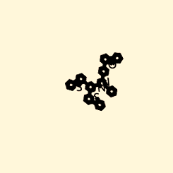 c1ccc(-c2nc(-c3ccc(-c4cccc5c4oc4ccccc45)cc3)cc(-c3cc(-c4cccc5c4sc4ccccc45)cc(-c4cccc5c4sc4ccccc45)c3)n2)cc1